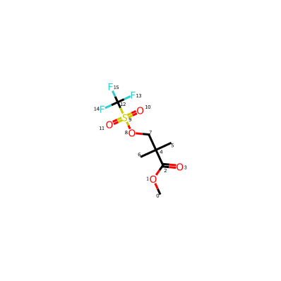 COC(=O)C(C)(C)COS(=O)(=O)C(F)(F)F